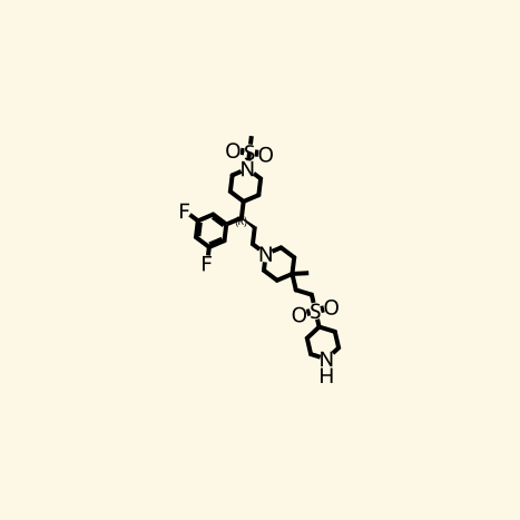 CC1(CCS(=O)(=O)C2CCNCC2)CCN(CC[C@@H](c2cc(F)cc(F)c2)C2CCN(S(C)(=O)=O)CC2)CC1